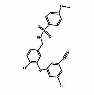 COc1ccc(S(=O)(=O)NCc2ccc(Cl)c(Oc3cc(Cl)cc(C#N)c3)c2)cc1